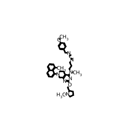 COc1ccc(CN=C=NCCCN(C)c2nc(OCC3CCCN3C)nc3c2CCN(c2cccc4cccc(C)c24)C3)cc1